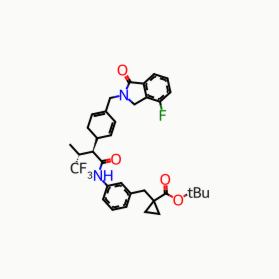 C[C@H]([C@H](C(=O)Nc1cccc(CC2(C(=O)OC(C)(C)C)CC2)c1)C1C=CC(CN2Cc3c(F)cccc3C2=O)=CC1)C(F)(F)F